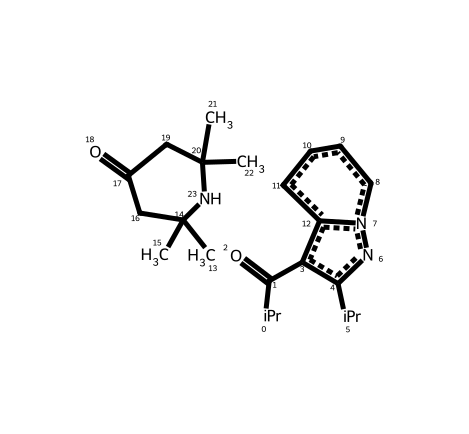 CC(C)C(=O)c1c(C(C)C)nn2ccccc12.CC1(C)CC(=O)CC(C)(C)N1